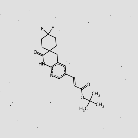 CC(C)(C)OC(=O)C=Cc1cnc2c(c1)CC1(CCC(F)(F)CC1)C(=O)N2